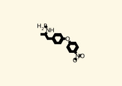 CC(Cc1ccc(Oc2ccc([N+](=O)[O-])cc2)cc1)NP